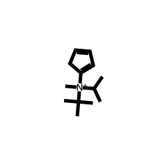 CC(C)[N+](C)(C1=CC=CC1)C(C)(C)C